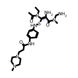 CCN(C(C)=O)/C(SNc1ccc(NC(=O)CCN2CCN(C)CC2)cc1)=C(\N)C(=O)N(C)CN